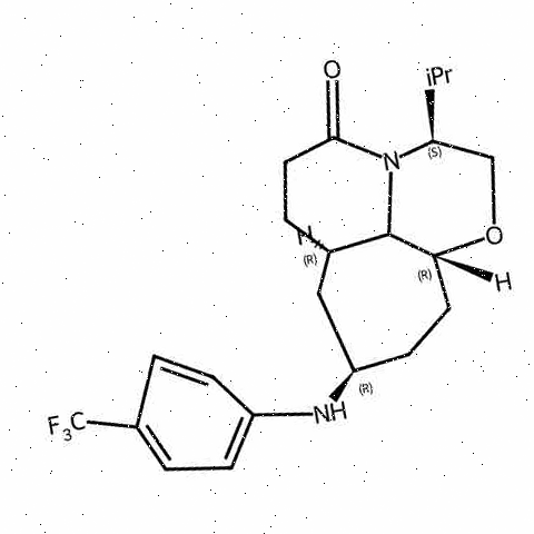 CC(C)[C@H]1CO[C@@H]2CC[C@@H](Nc3ccc(C(F)(F)F)cc3)C[C@H]3CCC(=O)N1C32